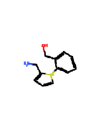 NCC1=CC=C[SH]1c1ccccc1CO